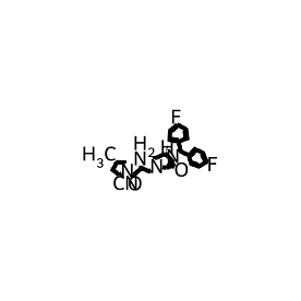 CC1CC(C#N)N(C(=O)C(N)CN2C[C@@H]3CC2C(=O)N3C(c2ccc(F)cc2)c2ccc(F)cc2)C1